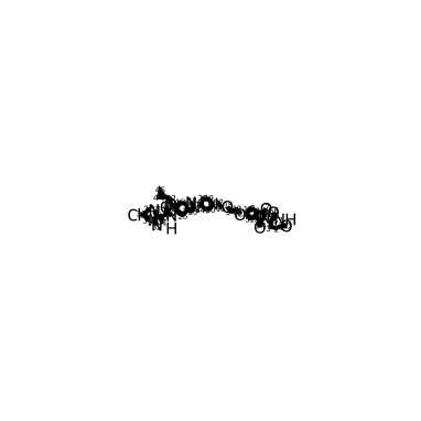 O=C1CCC(N2C(=O)c3ccc(OCCOCCN4CCC(n5cc6cc(NC(=O)c7cnn8cc(Cl)cnc78)c(OCC7CC7)cc6n5)CC4)cc3C2=O)C(=O)N1